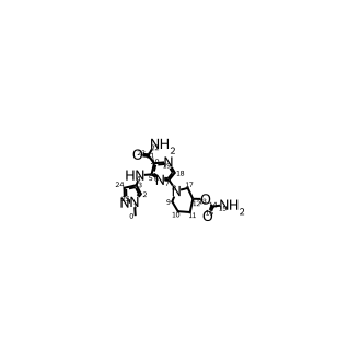 Cn1cc(Nc2nc(N3CCCC(OC(N)=O)C3)cnc2C(N)=O)cn1